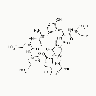 CC[C@H](C)[C@H](NC(=O)[C@H](CCC(=O)O)NC(=O)[C@H](CCC(=O)O)NC(=O)[C@H](CCC(=O)O)NC(=O)[C@@H](N)Cc1ccc(O)cc1)C(=O)N[C@@H](CCCNC(=N)N)C(=O)N[C@H](C(=O)N[C@@H](CC(C)C)C(=O)O)C(C)C